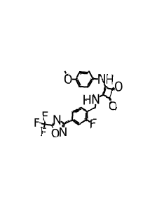 COc1ccc(Nc2c(NCc3ccc(-c4noc(C(F)(F)F)n4)cc3F)c(=O)c2=O)cc1